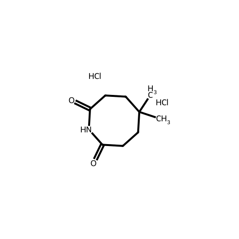 CC1(C)CCC(=O)NC(=O)CC1.Cl.Cl